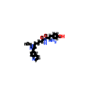 CCCCn1nc(-c2ccc3ncccc3c2)cc1CCCCC(=O)NC(=O)[C@@H](N)Cc1ccc(O)cc1